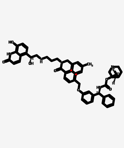 Cc1cccc(CN(CCCNC[C@H](O)c2ccc(O)c3[nH]c(=O)ccc23)C(=O)c2ccc(COc3cccc([C@@H](NC(=O)O[C@H]4CN5CCC4CC5)c4ccccc4)c3)cc2)c1